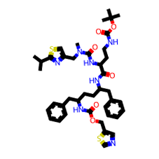 CC(C)c1nc(CN(C)C(=O)NC(CCNC(=O)OC(C)(C)C)C(=O)NC(CCC(Cc2ccccc2)NC(=O)OCc2cncs2)Cc2ccccc2)cs1